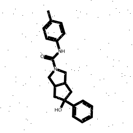 Cc1ccc(NC(=O)N2CC3CC(O)(c4ccccc4)CC3C2)cc1